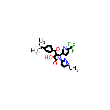 Cc1ccc(N2C(=O)C(O)=C(C(=O)c3ccc(C(C)C)cc3)C2c2ccc(C(F)(F)F)nc2)nn1